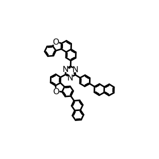 c1ccc2cc(-c3ccc(-c4nc(-c5ccc6ccc7oc8ccccc8c7c6c5)nc(-c5cccc6oc7cc(-c8ccc9ccccc9c8)ccc7c56)n4)cc3)ccc2c1